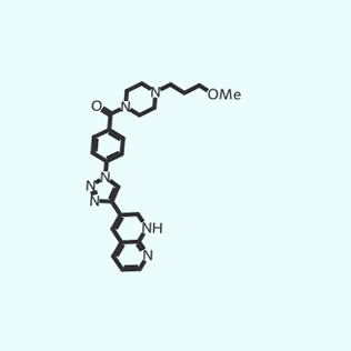 COCCCN1CCN(C(=O)c2ccc(-n3cc(C4=Cc5cccnc5NC4)nn3)cc2)CC1